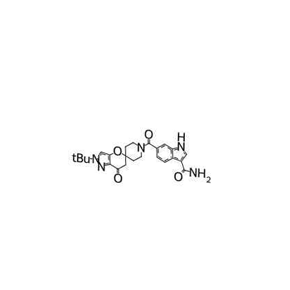 CC(C)(C)n1cc2c(n1)C(=O)CC1(CCN(C(=O)c3ccc4c(C(N)=O)c[nH]c4c3)CC1)O2